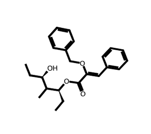 CC[C@@H](O)C(C)[C@H](CC)OC(=O)C(=Cc1ccccc1)OCc1ccccc1